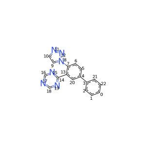 c1ccc(-c2ccc(-n3ccnn3)c(-c3ncncn3)c2)cc1